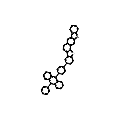 c1ccc(-c2c3ccccc3c(-c3ccc(-c4ccc5sc6c7cc8sc9ccccc9c8cc7ccc6c5c4)cc3)c3ccccc23)cc1